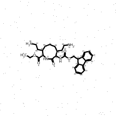 CCOC(=O)C1NC(=O)C(NC(=O)OCC2c3ccccc3-c3ccccc32)C(CCN)CCCC1CCN